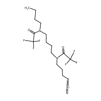 CCCCN(CCCCN(CCCN=[N+]=[N-])C(=O)C(F)(F)F)C(=O)C(F)(F)F